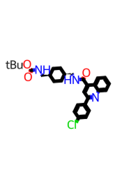 CC(C)(C)OC(=O)NC[C@H]1CC[C@H](CNC(=O)c2cc(-c3ccc(Cl)cc3)nc3ccccc23)CC1